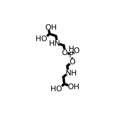 O=[PH](OCNCC(O)O)OCNCC(O)O